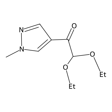 CCOC(OCC)C(=O)c1cnn(C)c1